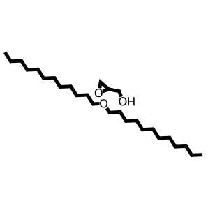 CCCCCCCCCCCCOCCCCCCCCCCCC.OCC1CO1